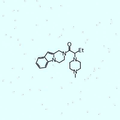 CCC(C(=O)N1CCn2c(cc3ccccc32)C1)N1CCN(C)CC1